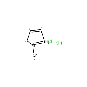 Cl.Cl.[Cr][C]1=CC=CC1